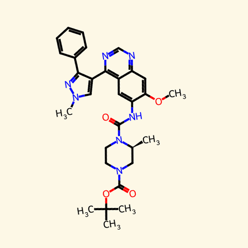 COc1cc2ncnc(-c3cn(C)nc3-c3ccccc3)c2cc1NC(=O)N1CCN(C(=O)OC(C)(C)C)C[C@@H]1C